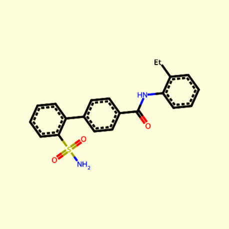 CCc1ccccc1NC(=O)c1ccc(-c2ccccc2S(N)(=O)=O)cc1